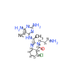 C[C@H](Nc1nc(N)nc(N)c1C#N)c1nc2cccc(Cl)c2c(=O)n1CCCN